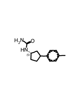 Cc1ccc(C2CC[C@H](NC(N)=O)C2)cc1